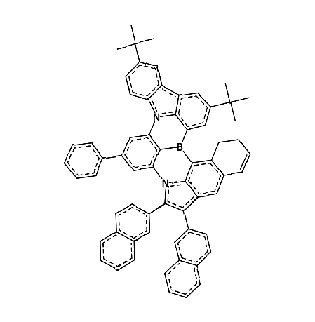 CC(C)(C)c1ccc2c(c1)c1cc(C(C)(C)C)cc3c1n2-c1cc(-c2ccccc2)cc2c1B3c1c3c(cc4c(-c5ccc6ccccc6c5)c(-c5ccc6ccccc6c5)n-2c14)C=CCC3